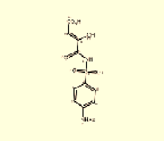 CC(=O)Nc1ccc(S(=O)(=O)NC(=O)C(O)=CC(=O)O)cc1